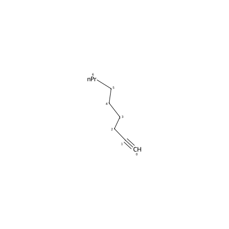 C#CC[CH]CCCCC